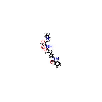 CC(CC(=O)NC1C(=O)COC1CN1CCCC1)C(C)(C)CCNC(=O)c1ccccc1